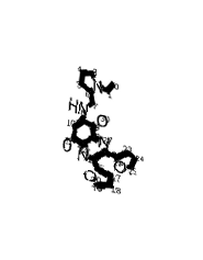 CCN1CCCC1CNC1=CC(=O)c2nc(-c3ccco3)c(-c3ccco3)nc2C1=O